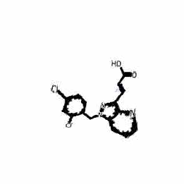 O=C(O)/C=C/c1nn(Cc2ccc(Cl)cc2Cl)c2cccnc12